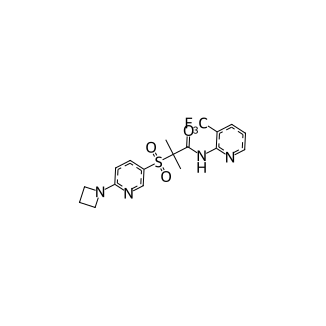 CC(C)(C(=O)Nc1ncccc1C(F)(F)F)S(=O)(=O)c1ccc(N2CCC2)nc1